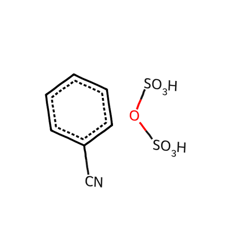 N#Cc1ccccc1.O=S(=O)(O)OS(=O)(=O)O